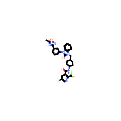 Cc1nc(-c2cccc(-n3c(=O)n(CC4CCC(NC(=O)c5cc(Cl)cnc5C(F)F)CC4)c4ccccc43)c2)no1